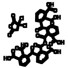 O=C(O)c1cccc(C(=O)c2cccc(C(=O)O)c2C(=O)OC(=O)c2c(C(=O)O)cccc2C(=O)c2cccc(C(=O)O)c2C(=O)O)c1C(=O)O.O=C1CC(Cl)(Cl)C(=O)O1